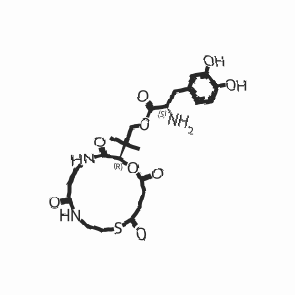 CC(C)(COC(=O)[C@@H](N)Cc1ccc(O)c(O)c1)[C@H]1OC(=O)CCC(=O)SCCNC(=O)CCNC1=O